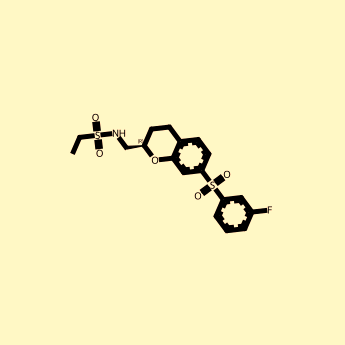 CCS(=O)(=O)NC[C@H]1CCc2ccc(S(=O)(=O)c3cccc(F)c3)cc2O1